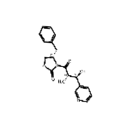 C[C@H](C(=O)N1C(=O)OC[C@@H]1Cc1ccccc1)[C@@H](O)c1cccnc1